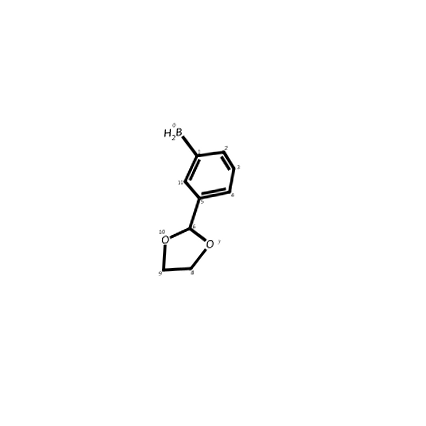 Bc1cccc(C2OCCO2)c1